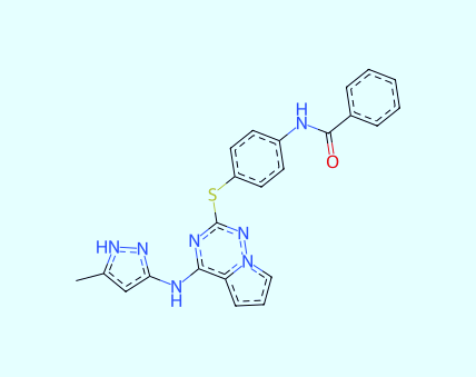 Cc1cc(Nc2nc(Sc3ccc(NC(=O)c4ccccc4)cc3)nn3cccc23)n[nH]1